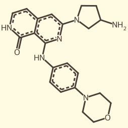 NC1CCN(c2cc3cc[nH]c(=O)c3c(Nc3ccc(N4CCOCC4)cc3)n2)C1